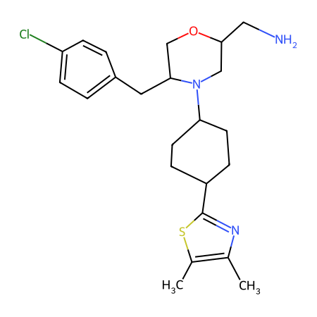 Cc1nc(C2CCC(N3CC(CN)OCC3Cc3ccc(Cl)cc3)CC2)sc1C